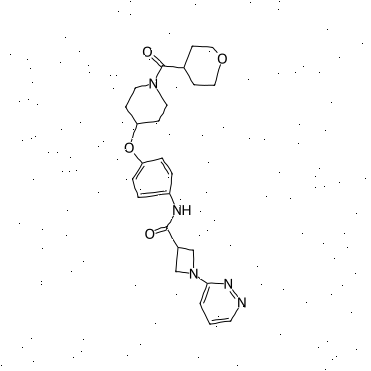 O=C(Nc1ccc(OC2CCN(C(=O)C3CCOCC3)CC2)cc1)C1CN(c2cccnn2)C1